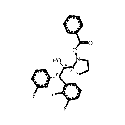 O=C(ON1CCC[C@@H]1[C@@H](O)[C@@H](c1cccc(F)c1)c1cccc(F)c1F)c1ccccc1